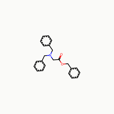 O=C(CN(Cc1ccccc1)Cc1ccccc1)OCc1ccccc1